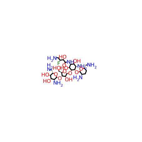 NC[C@@H]1CC[C@@H](N)[C@@H](O[C@@H]2[C@@H](N)[C@H](O)[C@@H](NC(=O)[C@@H](O)[C@H](F)CN)[C@H](O)[C@H]2O[C@@H]2O[C@H](CO)[C@@H](O[C@H]3O[C@@H](CN)[C@@H](O)[C@H](O)[C@H]3N)[C@H]2O)O1